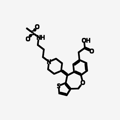 CS(=O)(=O)NCCCN1CCC(=C2c3cc(CC(=O)O)ccc3OCc3ccsc32)CC1